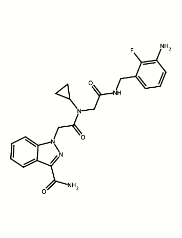 NC(=O)c1nn(CC(=O)N(CC(=O)NCc2cccc(N)c2F)C2CC2)c2ccccc12